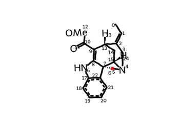 C/C=C1/CN2CC[C@]34C(=C(C(=O)OC)[C@H]1C[C@H]23)Nc1ccccc14